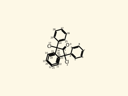 O=C(C(Cl)(c1ccccc1)c1ccccc1)C(Cl)(c1ccccc1)c1ccccc1